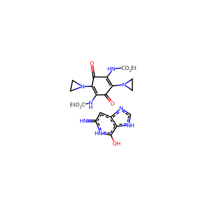 CCOC(=O)NC1=C(N2CC2)C(=O)C(NC(=O)OCC)=C(N2CC2)C1=O.N=c1cc2nc[nH]c2c(O)[nH]1